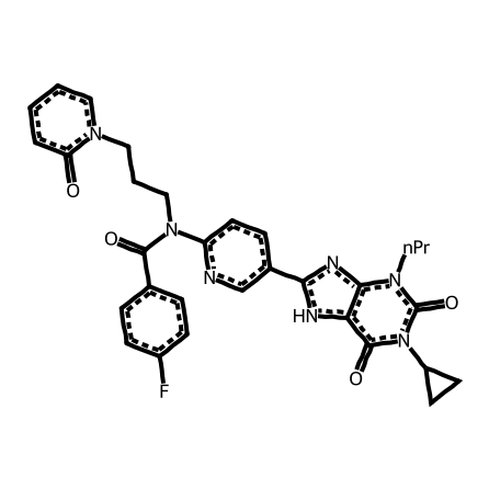 CCCn1c(=O)n(C2CC2)c(=O)c2[nH]c(-c3ccc(N(CCCn4ccccc4=O)C(=O)c4ccc(F)cc4)nc3)nc21